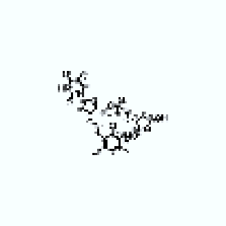 Cc1cc(Cl)c(/C=N/O[C@@H]2C[C@H](n3cc(C)c(=O)[nH]c3=O)O[C@@H]2COP(=O)(O)OC[C@@H]2CC(O)OC2O)c(Cl)c1O